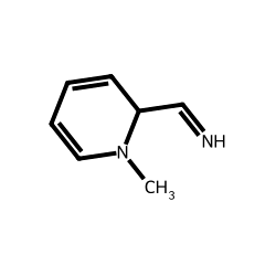 CN1C=CC=CC1C=N